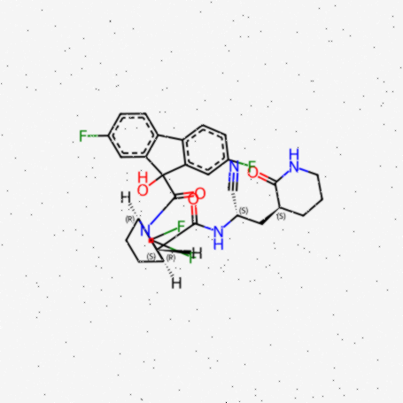 N#C[C@H](C[C@@H]1CCCNC1=O)NC(=O)[C@@H]1[C@H]2CC[C@H](CC2(F)F)N1C(=O)C1(O)c2cc(F)ccc2-c2ccc(F)cc21